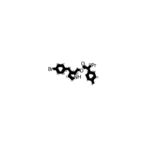 Cc1ccc(C(C(=O)OCc2[nH]ccc2Cc2ccc(Br)cc2)C(C)C)cc1